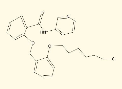 O=C(Nc1cccnc1)c1ccccc1OCc1ccccc1OCCCCCCCl